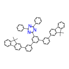 CC1(C)c2ccccc2-c2ccc(-c3cccc(-c4cc(-c5cccc(-c6ccc7c(c6)C(C)(C)c6ccccc6-7)c5)cc(-c5nc(-c6ccccc6)nc(-c6ccccc6)n5)c4)c3)cc21